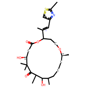 C/C(=C\c1csc(C)n1)C1CCO[C@@H](C)CCCC(C)C(O)C(C)C(=O)C(C)(C)[C@@H](O)CC(=O)O1